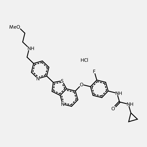 COCCNCc1ccc(-c2cc3nccc(Oc4ccc(NC(=O)NC5CC5)cc4F)c3s2)nc1.Cl